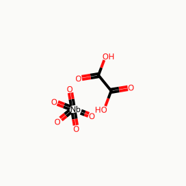 O=C(O)C(=O)O.[O]=[Nb](=[O])(=[O])(=[O])=[O]